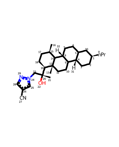 CCC[C@H]1CC[C@H]2C(CC[C@@H]3C2CC[C@@]2(C)C3[C@H](C)CC[C@@H]2[C@](C)(O)Cn2cc(C#N)cn2)C1